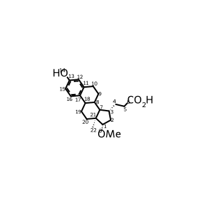 CO[C@H]1C[C@@H](CCC(=O)O)C2C3CCc4cc(O)ccc4C3CC[C@@]21C